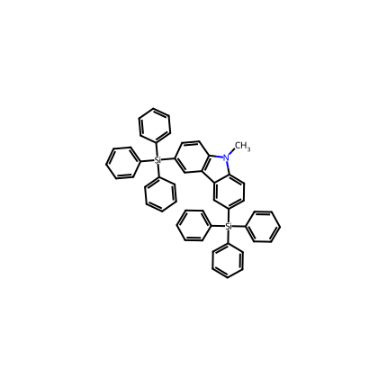 Cn1c2ccc([Si](c3ccccc3)(c3ccccc3)c3ccccc3)cc2c2cc([Si](c3ccccc3)(c3ccccc3)c3ccccc3)ccc21